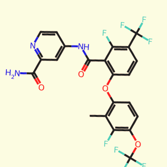 Cc1c(Oc2ccc(C(F)(F)F)c(F)c2C(=O)Nc2ccnc(C(N)=O)c2)ccc(OC(F)(F)F)c1F